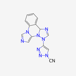 N#Cn1cc(N2C=NC3c4ccccc4-n4cncc4N32)nn1